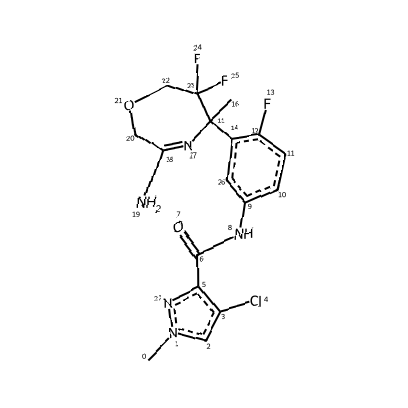 Cn1cc(Cl)c(C(=O)Nc2ccc(F)c(C3(C)N=C(N)COCC3(F)F)c2)n1